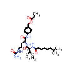 CCC(=O)OCc1ccc(NC(=O)[C@H](CCCNC(N)=O)NC(=O)[C@@H](NC(=O)CCCCCC(C)C)C(C)C)cc1